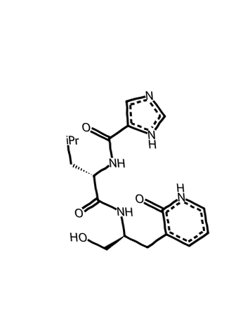 CC(C)C[C@H](NC(=O)c1cnc[nH]1)C(=O)N[C@H](CO)Cc1ccc[nH]c1=O